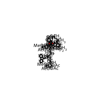 CC[C@@]1(OC(=O)N(C)CCN(C)C(=O)OCc2ccc(O[C@@H]3O[C@H](C(=O)OC)[C@@H](OC(C)=O)[C@H](OC(C)=O)[C@H]3OC(C)=O)c(NC(=O)CCNC(=O)[C@H](CCCC(=O)N[C@@H]3O[C@H](C(=O)OC)[C@@H](OC(C)=O)[C@H](OC(C)=O)[C@H]3OC(C)=O)NC(=O)OCC3c4ccccc4-c4ccccc43)c2)C(=O)OCc2c1cc1n(c2=O)Cc2c-1nc1cc(F)c(C)c(N)c1c2C